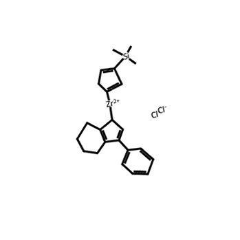 C[Si](C)(C)C1=CC[C]([Zr+2][CH]2C=C(c3ccccc3)C3=C2CCCC3)=C1.[Cl-].[Cl-]